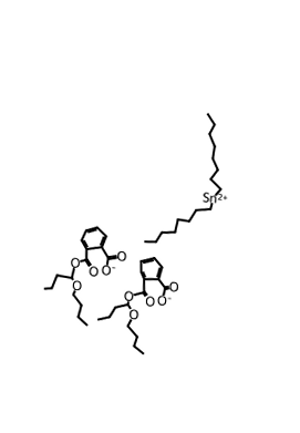 CCCCCCC[CH2][Sn+2][CH2]CCCCCCC.CCCCOC(CCC)OC(=O)c1ccccc1C(=O)[O-].CCCCOC(CCC)OC(=O)c1ccccc1C(=O)[O-]